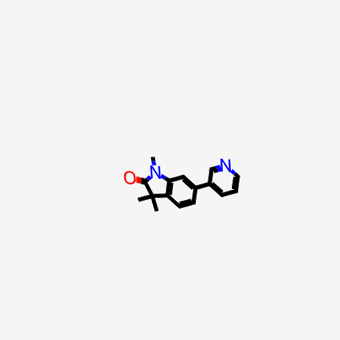 CN1C(=O)C(C)(C)c2ccc(-c3cccnc3)cc21